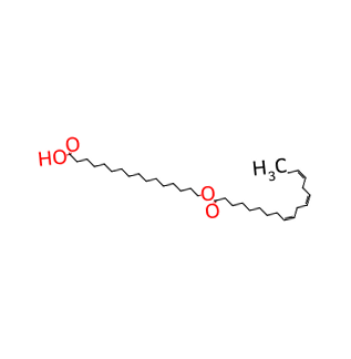 CC/C=C\C/C=C\C/C=C\CCCCCCCC(=O)OCCCCCCCCCCCCCCCC(=O)O